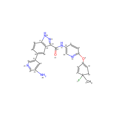 CC1(F)C=CC(Oc2ccc(NC(=O)c3n[nH]c4ccc(-c5cncc(N)c5)cc34)cn2)=CC1